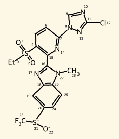 CCS(=O)(=O)c1ccc(-n2cnc(Cl)n2)nc1-c1nc2cc([S+]([O-])C(F)(F)F)ccc2n1C